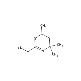 CC1CC(C)(C)N=C(CCl)O1